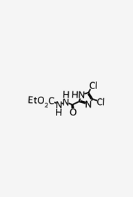 CCOC(=O)NNC(=O)c1nc(Cl)c(Cl)[nH]1